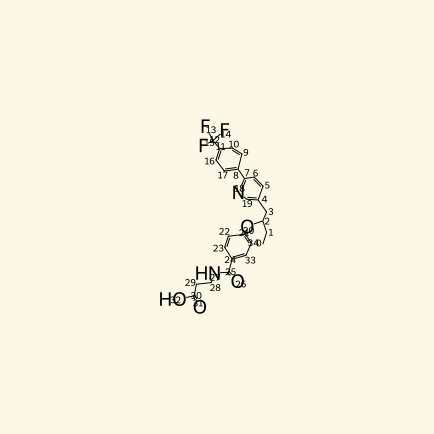 CCC(Cc1ccc(-c2ccc(C(F)(F)F)cc2)nc1)Oc1ccc(C(=O)NCCC(=O)O)cc1